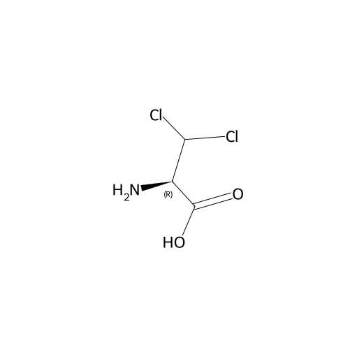 N[C@H](C(=O)O)C(Cl)Cl